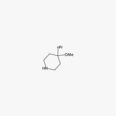 CCCC1(OC)CCNCC1